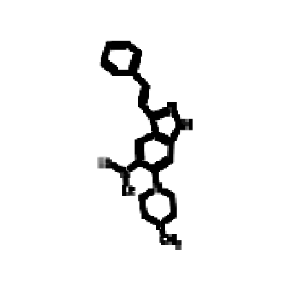 CCN(CC)c1cc2c(C=Cc3ccccc3)n[nH]c2cc1N1CCN(C)CC1